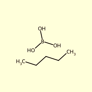 CCCCC.OB(O)O